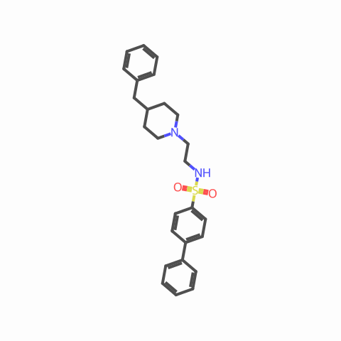 O=S(=O)(NCCN1CCC(Cc2ccccc2)CC1)c1ccc(-c2ccccc2)cc1